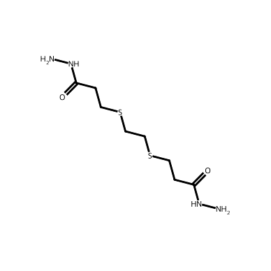 NNC(=O)CCSCCSCCC(=O)NN